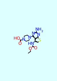 CCOC(=O)Nc1csc2nc(N)nc(N3CCN(C(=O)O)CC3)c12